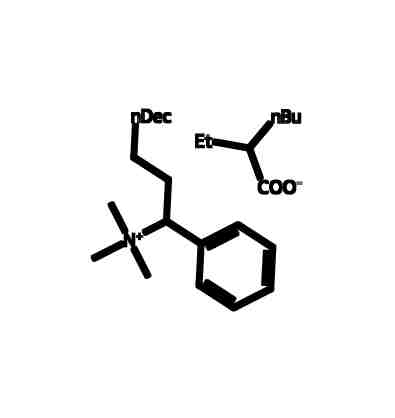 CCCCC(CC)C(=O)[O-].CCCCCCCCCCCCC(c1ccccc1)[N+](C)(C)C